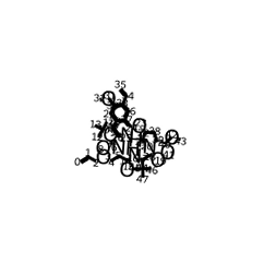 C=CCOCC(NC(=O)OC(C)(C)C)C(=O)NC(C(=O)N1C[C@H](Oc2nccc3cc(OC)c(C=C)cc23)C[C@H]1C(=O)OC)C(C)(C)C